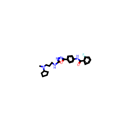 CN(CCCNc1nnc(-c2ccc(NC(=O)c3ccccc3F)cc2)o1)C1CCCC1